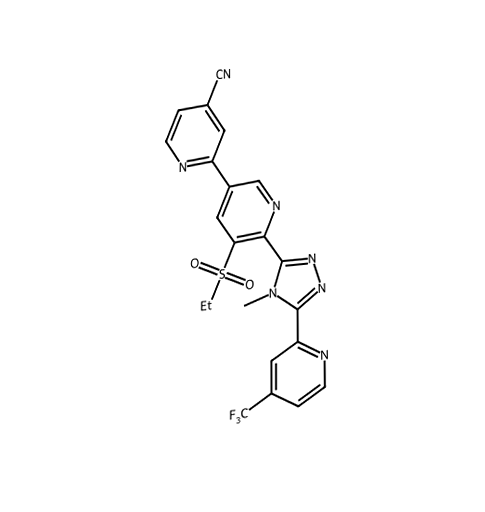 CCS(=O)(=O)c1cc(-c2cc(C#N)ccn2)cnc1-c1nnc(-c2cc(C(F)(F)F)ccn2)n1C